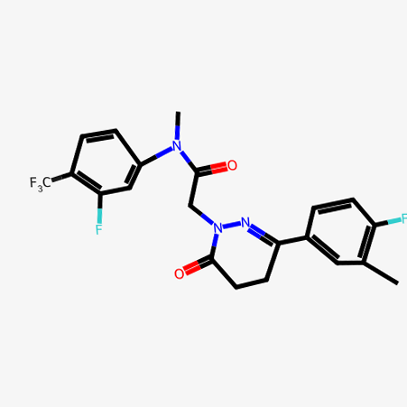 Cc1cc(C2=NN(CC(=O)N(C)c3ccc(C(F)(F)F)c(F)c3)C(=O)CC2)ccc1F